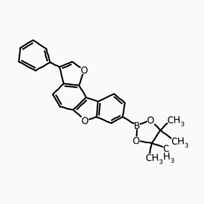 CC1(C)OB(c2ccc3c(c2)oc2ccc4c(-c5ccccc5)coc4c23)OC1(C)C